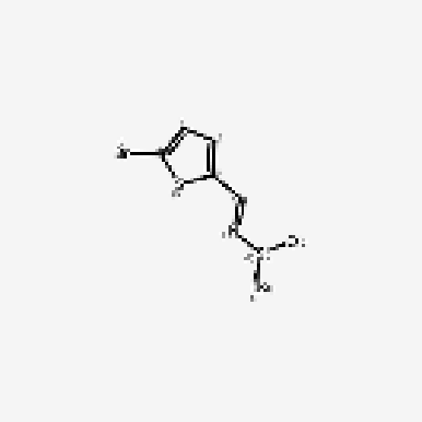 CC(C)(C)[S@+]([O-])N=Cc1ccc(Br)s1